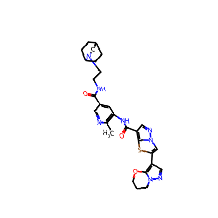 Cc1ncc(C(=O)NCCN2CC3CCC2CC3)cc1NC(=O)c1cnn2cc(-c3cnn4c3OCCC4)sc12